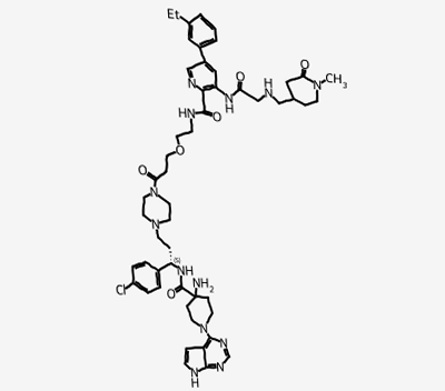 CCc1cccc(-c2cnc(C(=O)NCCOCCC(=O)N3CCN(CC[C@H](NC(=O)C4(N)CCN(c5ncnc6[nH]ccc56)CC4)c4ccc(Cl)cc4)CC3)c(NC(=O)CNCC3CCN(C)C(=O)C3)c2)c1